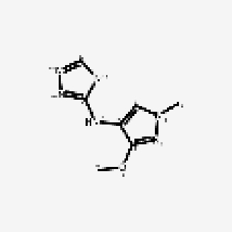 COc1nn(C)cc1NC1=NN=C[N]1